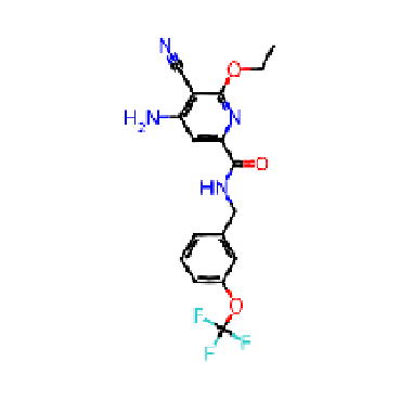 CCOc1nc(C(=O)NCc2cccc(OC(F)(F)F)c2)cc(N)c1C#N